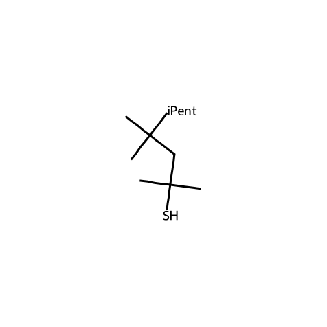 CCCC(C)C(C)(C)CC(C)(C)S